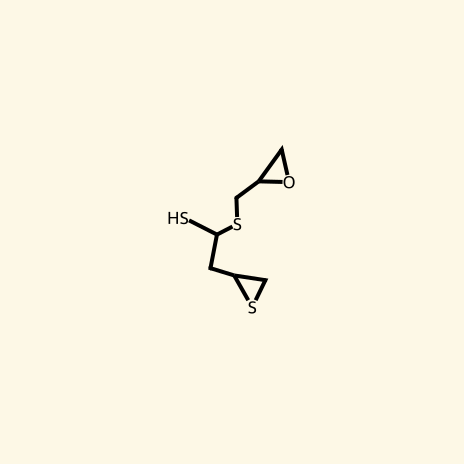 SC(CC1CS1)SCC1CO1